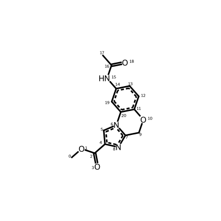 COC(=O)c1cn2c(n1)COc1ccc(NC(C)=O)cc1-2